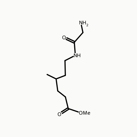 COC(=O)CCC(C)CCNC(=O)CN